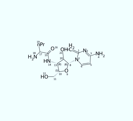 C=C1N=C(N)C=CN1[C@@H]1O[C@H](CO)[C@H](NC(=O)C(N)CCC)C1O